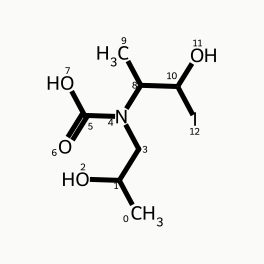 CC(O)CN(C(=O)O)C(C)C(O)I